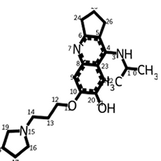 CC(C)Nc1c2c(nc3cc(OCCCN4CCCC4)c(O)cc13)CCC2